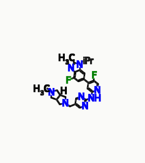 Cc1nc2c(F)cc(-c3cc(Nc4ncc(CN5CC6CN(C)C[C@@H]6C5)cn4)ncc3F)cc2n1C(C)C